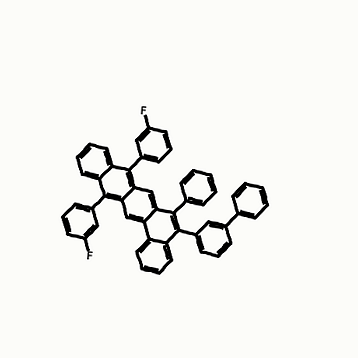 Fc1cccc(-c2c3ccccc3c(-c3cccc(F)c3)c3cc4c(cc23)c(-c2ccccc2)c(-c2cccc(-c3ccccc3)c2)c2ccccc24)c1